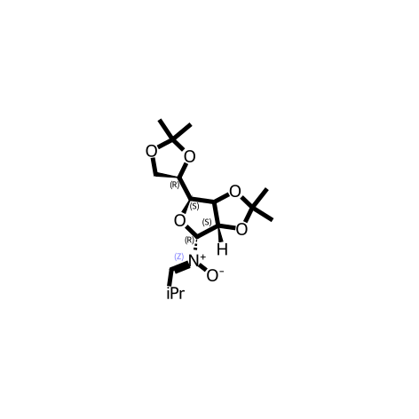 CC(C)/C=[N+](\[O-])[C@@H]1O[C@@H]([C@H]2COC(C)(C)O2)C2OC(C)(C)O[C@@H]21